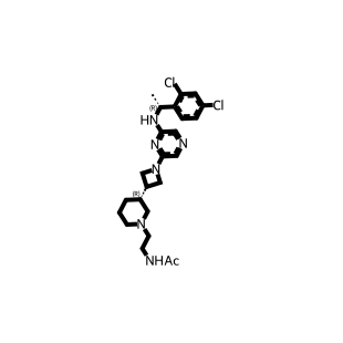 CC(=O)NCCN1CCC[C@H](C2CN(c3cncc(N[C@H](C)c4ccc(Cl)cc4Cl)n3)C2)C1